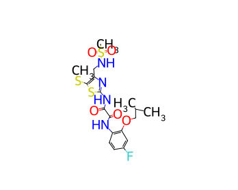 CSc1sc(NC(=O)C(=O)Nc2ccc(F)cc2OCC(C)C)nc1CNS(C)(=O)=O